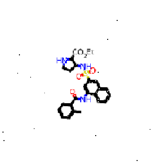 CCOC(=O)C1NCCC1NS(=O)(=O)c1cc(NC(=O)c2ccccc2C)c2ccccc2c1